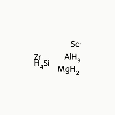 [AlH3].[MgH2].[Sc].[SiH4].[Zr]